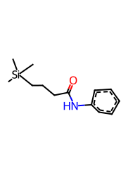 C[Si](C)(C)CCCC(=O)Nc1ccccc1